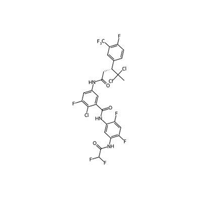 CC(Cl)(Cl)[C@H](CC(=O)Nc1cc(F)c(Cl)c(C(=O)Nc2cc(NC(=O)C(F)F)c(F)cc2F)c1)c1ccc(F)c(C(F)(F)F)c1